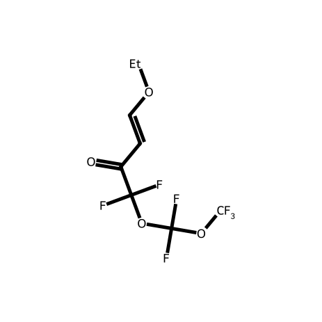 CCOC=CC(=O)C(F)(F)OC(F)(F)OC(F)(F)F